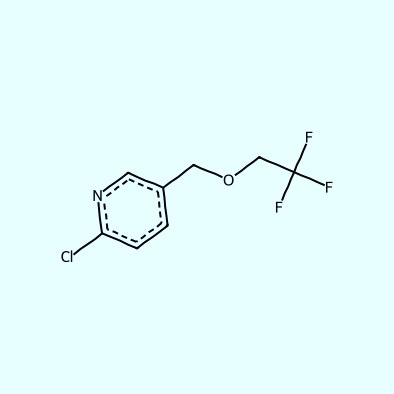 FC(F)(F)COCc1ccc(Cl)nc1